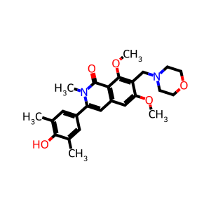 COc1cc2cc(-c3cc(C)c(O)c(C)c3)n(C)c(=O)c2c(OC)c1CN1CCOCC1